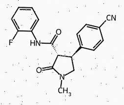 CN1C[C@H](c2ccc(C#N)cc2)[C@@H](C(=O)Nc2ccccc2F)C1=O